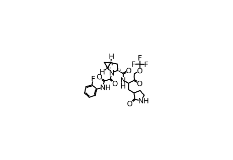 O=C(Nc1ccccc1F)C(=O)N1[C@@H]2C[C@@H]2C[C@H]1C(=O)NC(CC1CCNC1=O)C(=O)COC(F)(F)F